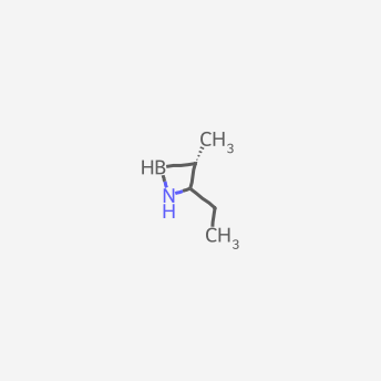 CCC1NB[C@@H]1C